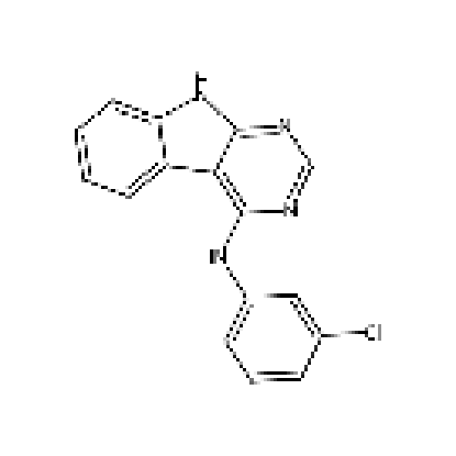 Clc1cccc(Nc2ncnc3[nH]c4ccccc4c23)c1